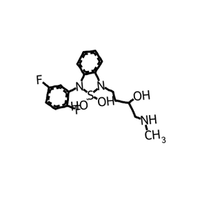 CNCC(O)CCN1c2ccccc2N(c2cc(F)ccc2F)S1(O)O